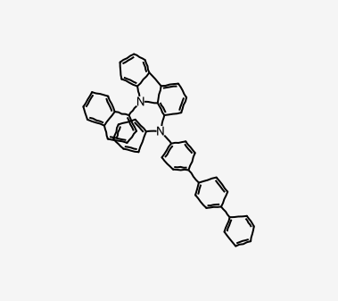 c1ccc(-c2ccc(-c3ccc(N(c4ccccc4)c4cccc5c6ccccc6n(-c6cccc7ccccc67)c45)cc3)cc2)cc1